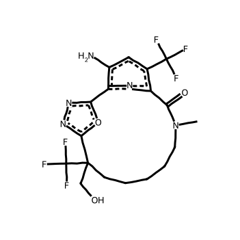 CN1CCCCCC(CO)(C(F)(F)F)c2nnc(o2)-c2nc(c(C(F)(F)F)cc2N)C1=O